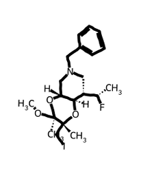 CO[C@@]1(C)O[C@@H]2CN(Cc3ccccc3)C[C@H]([C@H](C)F)[C@H]2O[C@]1(C)CI